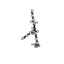 COCCOCCOC(=O)NCCCCC(NC(=O)OCCOCCOC)C(=O)NCCCOCCOP(=O)(O)OC